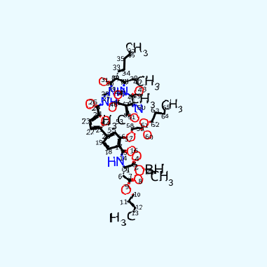 CBOC(=O)[C@H](CC(=O)OCCCC)NC(=O)c1ccc(-c2ccc(C(=O)NCNC(=O)[C@H](CCCCC)[C@@H](CC)N(C=O)OC(=O)c3c(C)noc3C)o2)cc1OCC(=O)OCCCC